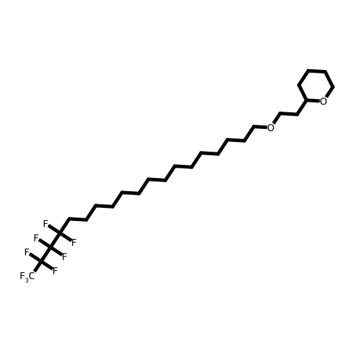 FC(F)(F)C(F)(F)C(F)(F)C(F)(F)CCCCCCCCCCCCCCCOCCC1CCCCO1